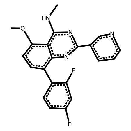 CNc1nc(-c2cccnc2)nc2c(-c3ccc(F)cc3F)ccc(OC)c12